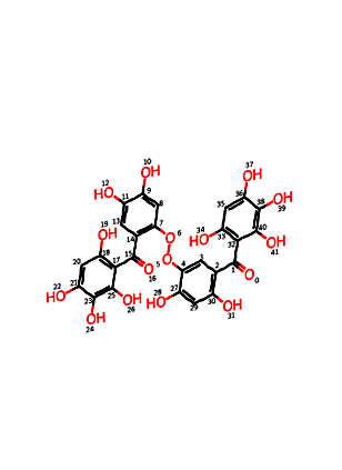 O=C(c1cc(OOc2cc(O)c(O)cc2C(=O)c2c(O)cc(O)c(O)c2O)c(O)cc1O)c1c(O)cc(O)c(O)c1O